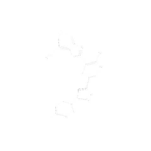 CN1CCC(n2cc(-c3cnc(N)c(-c4nc5cccc(C#N)c5o4)c3)cn2)CC1